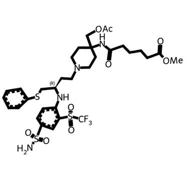 COC(=O)CCCCC(=O)NC1(COC(C)=O)CCN(CC[C@H](CSc2ccccc2)Nc2ccc(S(N)(=O)=O)cc2S(=O)(=O)C(F)(F)F)CC1